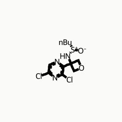 CCCC[S+]([O-])NC1(c2ncc(Cl)nc2Cl)COC1